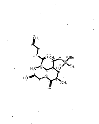 C=CCOC(=O)N(C)CC(CN(C)C(=O)OCC=C)C(C)O[Si](C)(C)C(C)(C)C